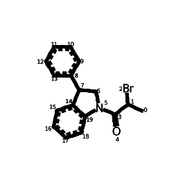 CC(Br)C(=O)N1CC(c2ccccc2)c2ccccc21